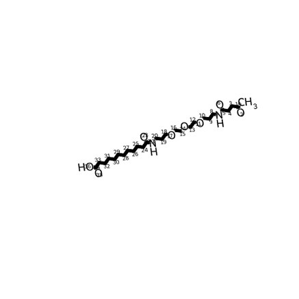 CC(=O)CCC(=O)NCCCOCCOCCOCCCNC(=O)CCCCCCCCCCC(=O)O